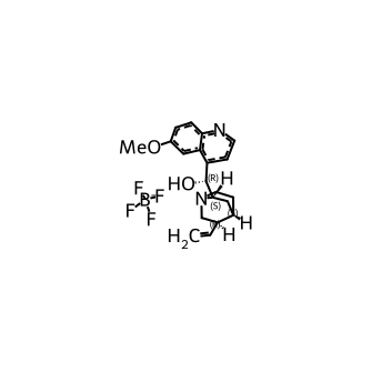 C=C[C@H]1CN2CC[C@H]1C[C@H]2[C@H](O)c1ccnc2ccc(OC)cc12.F[B-](F)(F)F